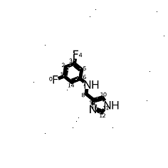 Fc1cc(F)cc(NCc2c[nH]cn2)c1